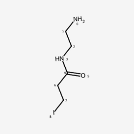 NCCNC(=O)CCI